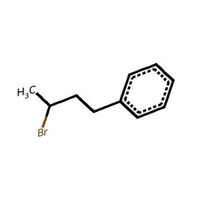 CC(Br)CCc1ccccc1